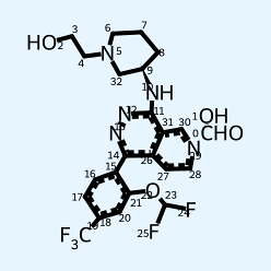 O=CO.OCCN1CCC[C@@H](Nc2nnc(-c3ccc(C(F)(F)F)cc3OC(F)F)c3ccncc23)C1